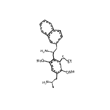 CCSc1c(OC)c(C[C@@H](C)N)cc(OC)c1C(N)Cc1ccc2ccccc2c1